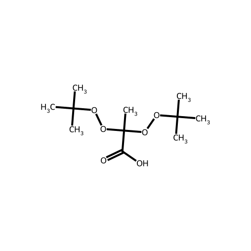 CC(C)(C)OOC(C)(OOC(C)(C)C)C(=O)O